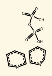 [O]=[Cr](=[O])([OH])[O][Cr](=[O])(=[O])[OH].c1ccncc1.c1ccncc1